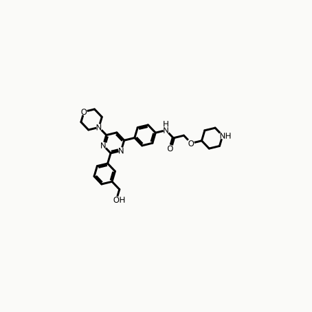 O=C(COC1CCNCC1)Nc1ccc(-c2cc(N3CCOCC3)nc(-c3cccc(CO)c3)n2)cc1